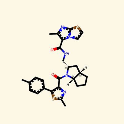 Cc1ccc(-c2sc(C)nc2C(=O)N2[C@H](CNC(=O)c3c(C)nc4sccn34)C[C@@H]3CCC[C@@H]32)cc1